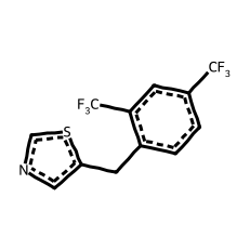 FC(F)(F)c1ccc(Cc2cncs2)c(C(F)(F)F)c1